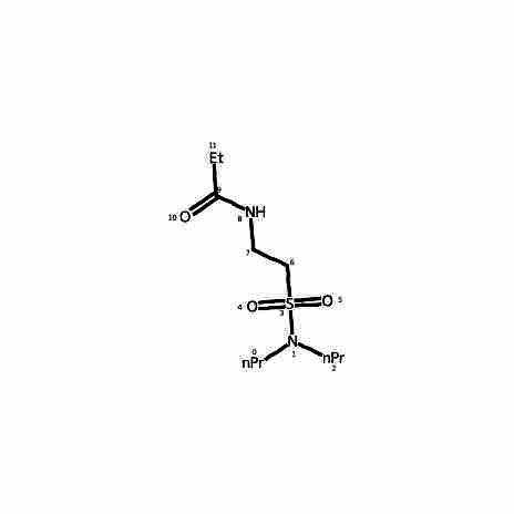 CCCN(CCC)S(=O)(=O)CCNC(=O)CC